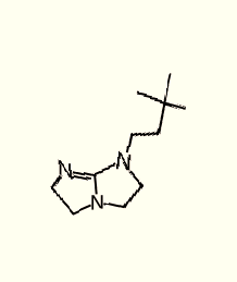 CC(C)(C)CCN1CCN2CCN=C21